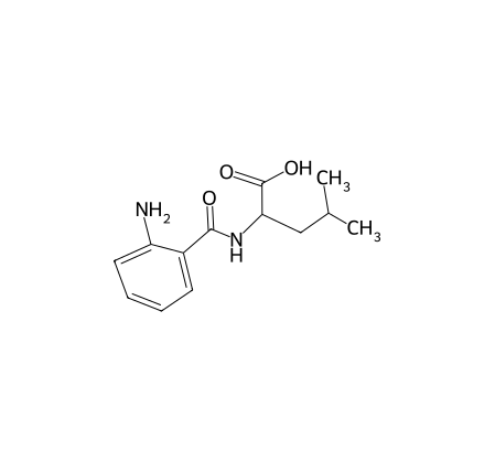 CC(C)CC(NC(=O)c1ccccc1N)C(=O)O